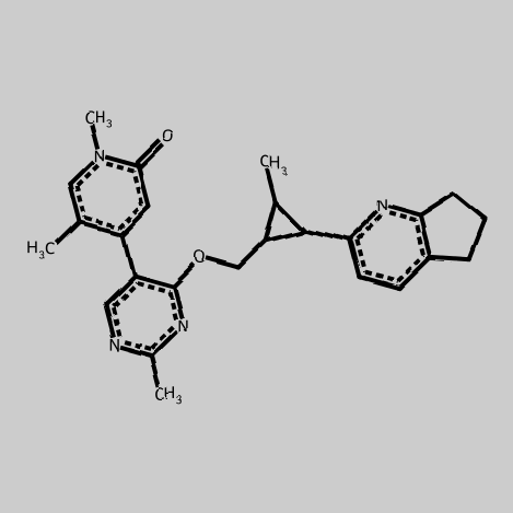 Cc1ncc(-c2cc(=O)n(C)cc2C)c(OCC2C(C)C2c2ccc3c(n2)CCC3)n1